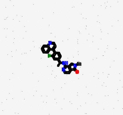 CCN1Cc2c(ccnc2N[C@@H](C)c2ccc(-c3ccnc4ccccc34)c(F)c2)C1=O